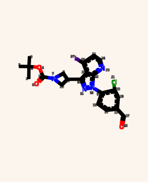 CC(C)(C)OC(=O)N1CC(c2nn(-c3ccc(C=O)cc3Cl)c3nccc(I)c23)C1